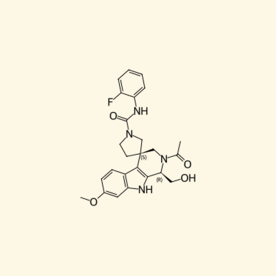 COc1ccc2c3c([nH]c2c1)[C@H](CO)N(C(C)=O)C[C@]31CCN(C(=O)Nc2ccccc2F)C1